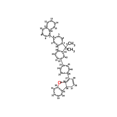 CC1(C)c2ccc(-c3cccc4ccccc34)cc2-c2ccc(-c3ccc(C4=C5Oc6ccccc6C5CC=C4)cc3)cc21